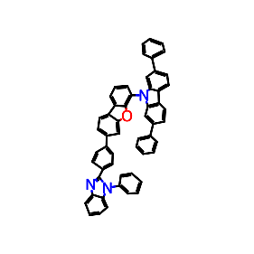 c1ccc(-c2ccc3c4ccc(-c5ccccc5)cc4n(-c4cccc5c4oc4cc(-c6ccc(-c7nc8ccccc8n7-c7ccccc7)cc6)ccc45)c3c2)cc1